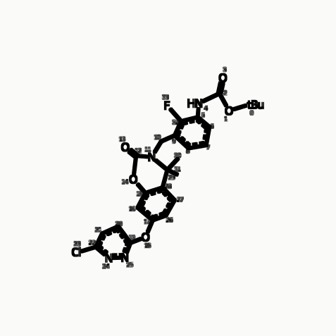 CC(C)(C)OC(=O)Nc1cccc(CN2C(=O)Oc3cc(Oc4ccc(Cl)nn4)ccc3C2(C)C)c1F